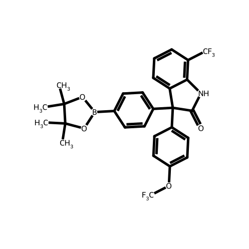 CC1(C)OB(c2ccc(C3(c4ccc(OC(F)(F)F)cc4)C(=O)Nc4c(C(F)(F)F)cccc43)cc2)OC1(C)C